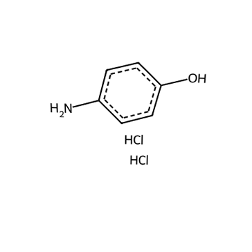 Cl.Cl.Nc1ccc(O)cc1